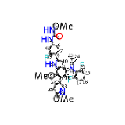 CONC(=O)Nc1ccc(-c2cc3c(N(c4c(F)cccc4F)C4CC4)cc(-c4ccc(OC)nc4)c(OC)c3[nH]2)c(F)c1